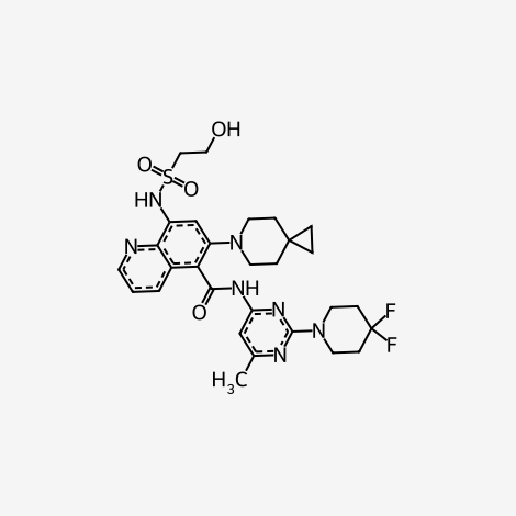 Cc1cc(NC(=O)c2c(N3CCC4(CC3)CC4)cc(NS(=O)(=O)CCO)c3ncccc23)nc(N2CCC(F)(F)CC2)n1